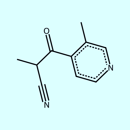 Cc1cnccc1C(=O)C(C)C#N